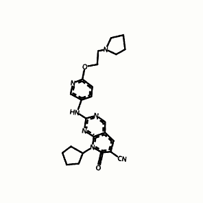 N#Cc1cc2cnc(Nc3ccc(OCCN4CCCC4)nc3)nc2n(C2CCCC2)c1=O